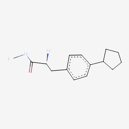 CC(C)NC(=O)[C@@H](N)Cc1ccc(C2CCCC2)cc1